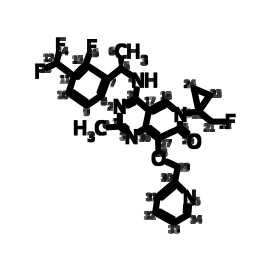 Cc1nc(N[C@H](C)c2cccc(C(F)F)c2F)c2cn(C3(CF)CC3)c(=O)c(OCc3ccccn3)c2n1